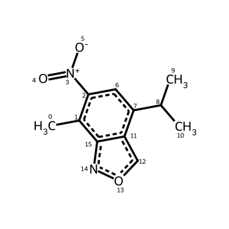 Cc1c([N+](=O)[O-])cc(C(C)C)c2conc12